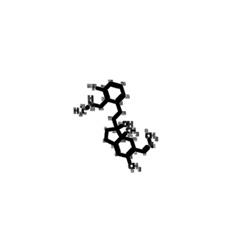 C/N=C\C1=C(C)C=C2CCC(O)(CCc3cccc(F)c3CNC)C2(C)C1